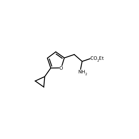 CCOC(=O)C(N)Cc1ccc(C2CC2)o1